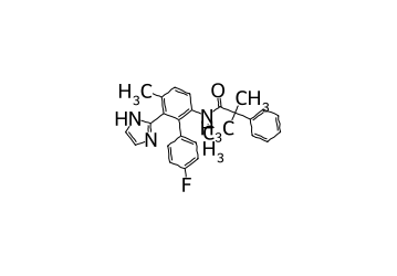 Cc1ccc(N(C)C(=O)C(C)(C)c2ccccc2)c(-c2ccc(F)cc2)c1-c1ncc[nH]1